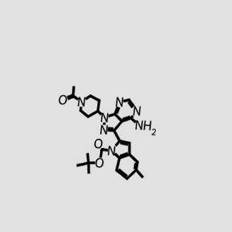 CC(=O)N1CCC(n2nc(-c3cc4cc(C)ccc4n3C(=O)OC(C)(C)C)c3c(N)ncnc32)CC1